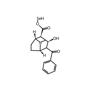 CN1[C@@H]2CC[C@H]1C(C(=O)c1ccccc1)[C@H](O)[C@@H]2C(=O)O[SeH]